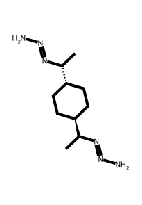 CC(N=NN)[C@H]1CC[C@H](C(C)N=NN)CC1